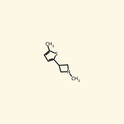 Cc1ccc(C2CN(C)C2)s1